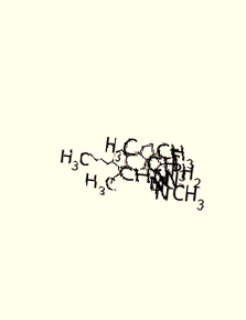 CCCCCC1CCC2[C@](C)(CCC3(C)[C@@]2(C)CC[C@]3(C)C(Cn2nnc(C)n2)C(F)P)C1CCC